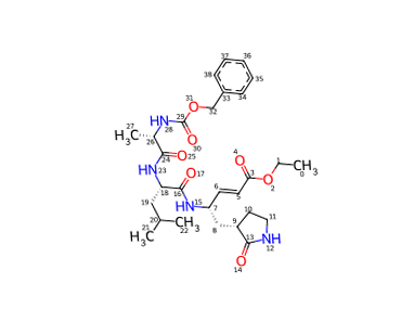 CCOC(=O)/C=C/[C@H](C[C@@H]1CCNC1=O)NC(=O)[C@H](CC(C)C)NC(=O)[C@H](C)NC(=O)OCc1ccccc1